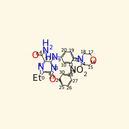 CCc1nc(C(N)=O)c(Nc2ccc(N3CCOCC3)cc2)nc1Oc1cccc([N+](=O)[O-])c1